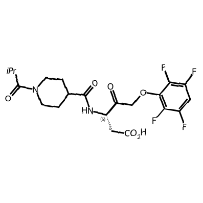 CC(C)C(=O)N1CCC(C(=O)N[C@@H](CC(=O)O)C(=O)COc2c(F)c(F)cc(F)c2F)CC1